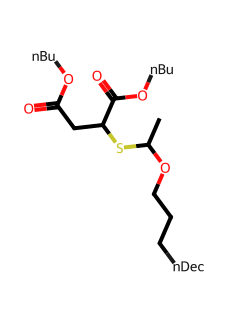 CCCCCCCCCCCCCOC(C)SC(CC(=O)OCCCC)C(=O)OCCCC